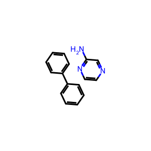 Nc1cnccn1.c1ccc(-c2ccccc2)cc1